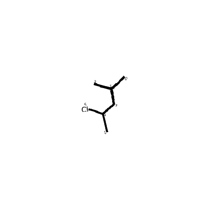 C[C](C)CC(C)Cl